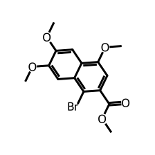 COC(=O)c1cc(OC)c2cc(OC)c(OC)cc2c1Br